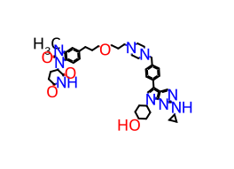 Cn1c(=O)n(C2CCC(=O)NC2=O)c2ccc(CCCOCCCN3CCN(Cc4ccc(-c5cn([C@H]6CC[C@H](O)CC6)c6nc(NC7CC7)ncc56)cc4)CC3)cc21